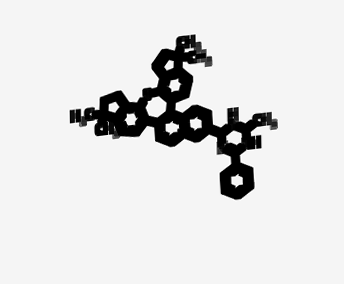 CC1NC(c2ccccc2)=NC(c2ccc3c4c(ccc3c2)-c2ccc3c(c2Sc2c-4ccc4c2C=CC4(C)C)CCC3(C)C)N1